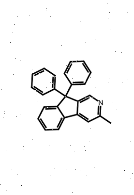 Cc1cc2c(cn1)C(c1ccccc1)(c1ccccc1)c1ccccc1-2